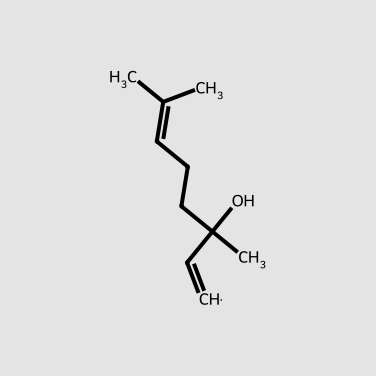 [CH]=CC(C)(O)CCC=C(C)C